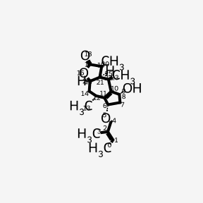 C/C=C(\C)CO[C@H]1C[C@@H](O)C2=C1[C@H](C)C[C@H]1OC(=O)[C@@H](C)[C@H]1C2C